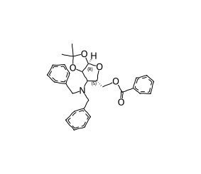 CC1(C)OC2C(N(Cc3ccccc3)Cc3ccccc3)[C@@H](COC(=O)c3ccccc3)O[C@@H]2O1